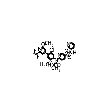 CNC(=O)N(c1ccc(S(=O)(=O)Nc2cccnn2)cn1)c1cc(Cl)c(-c2cc(OC)nc(C(F)(F)F)c2)cc1OC